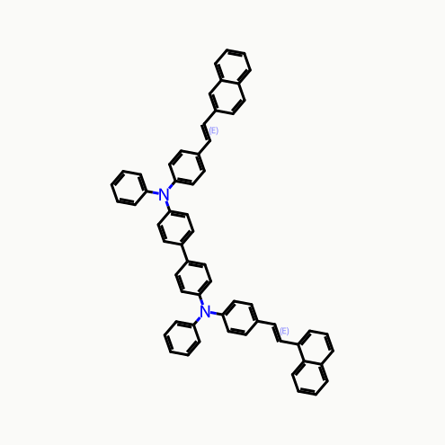 C(=C\c1ccc2ccccc2c1)/c1ccc(N(c2ccccc2)c2ccc(-c3ccc(N(c4ccccc4)c4ccc(/C=C/c5cccc6ccccc56)cc4)cc3)cc2)cc1